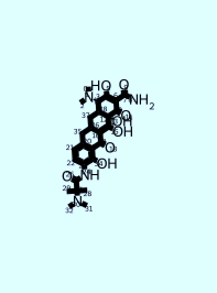 CN(C)[C@@H]1C(O)=C(C(N)=O)C(=O)[C@@]2(O)C(O)=C3C(=O)c4c(ccc(NC(=O)C(C)(C)N(C)C)c4O)CC3CC12